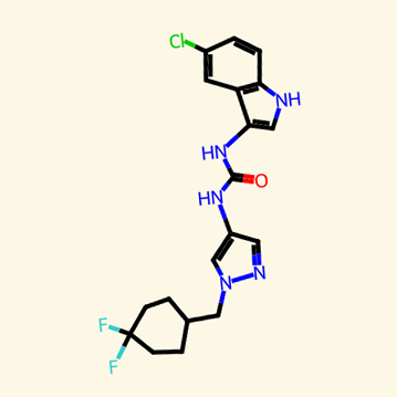 O=C(Nc1cnn(CC2CCC(F)(F)CC2)c1)Nc1c[nH]c2ccc(Cl)cc12